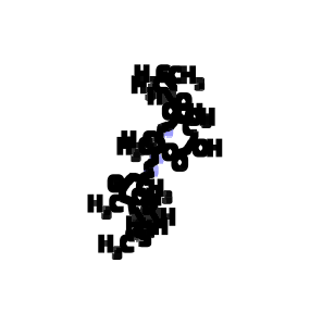 CC[C@@H]1SC[C@@H]2NC(=O)N(CC(O)C(C)C3OC3CC(C)/C=C/C=C(\C)C3OC(=O)CC(O)CCC(C)(O)C(OC(=O)NCC(C)(C)C)/C=C/C3C)[C@@H]21